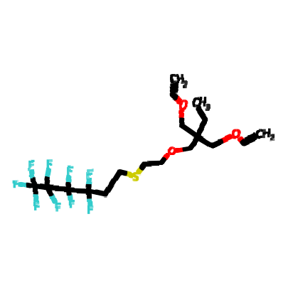 C=COCC(CC)(COC=C)COCCSCCC(F)(F)C(F)(F)C(F)(F)C(F)(F)F